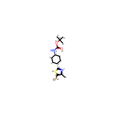 Cc1nc([C@H]2CC[C@H](NC(=O)OC(C)(C)C)CC2)sc1Br